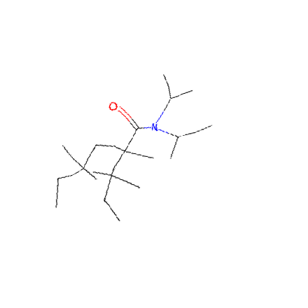 CCC(C)(C)CC(C)(C(=O)N(C(C)C)C(C)C)C(C)(C)CC